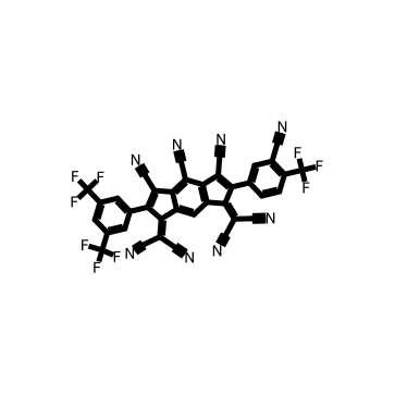 N#CC(C#N)=C1C(c2cc(C(F)(F)F)cc(C(F)(F)F)c2)=C(C#N)c2c1cc1c(c2C#N)C(C#N)=C(c2ccc(C(F)(F)F)c(C#N)c2)C1=C(C#N)C#N